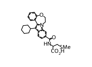 CSCC(NC(=O)c1ccc2c(C3CCCCC3)c3n(c2c1)CCOc1ccccc1-3)C(=O)O